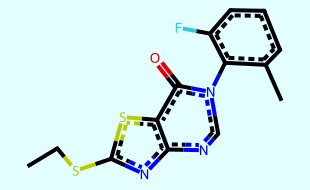 CCSc1nc2ncn(-c3c(C)cccc3F)c(=O)c2s1